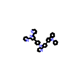 c1ccc(-n2c3ccccc3c3ccc(-c4ccc5c6ncccc6n(-c6ccc(-c7cc(-c8ccccn8)nc(-c8ccccn8)c7)cc6)c5c4)cc32)cc1